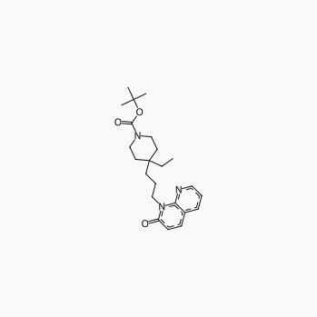 CCC1(CCCn2c(=O)ccc3cccnc32)CCN(C(=O)OC(C)(C)C)CC1